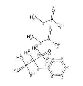 NCC(=O)O.NCC(=O)O.O=P(O)(O)C(O)(Cc1cccnc1)P(=O)(O)O